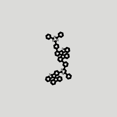 c1ccc(-c2cc(-c3cccc(-c4cccc5c4-c4ccccc4C54c5cccc(-c6ccc(-c7nc(-c8ccccc8)nc(-c8ccccc8)n7)cc6)c5-c5sc6ccccc6c54)c3)nc(-c3ccc4c(c3)C3(c5ccccc5-c5ccccc53)c3c-4sc4ccccc34)n2)cc1